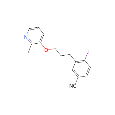 Cc1ncccc1OCCCc1cc(C#N)ccc1I